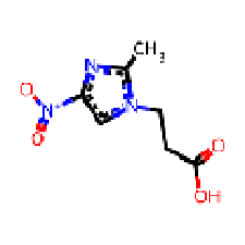 Cc1nc([N+](=O)[O-])cn1CCC(=O)O